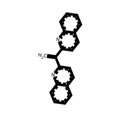 C=C(c1ccc2ccccc2n1)c1ccc2ccccc2n1